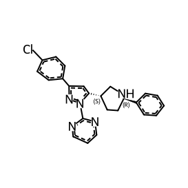 Clc1ccc(-c2cc([C@H]3CC[C@H](c4ccccc4)NC3)n(-c3ncccn3)n2)cc1